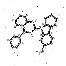 Bc1ccc2c3ccccc3n(-c3nc(-c4ccccc4)c4ccccc4n3)c2c1